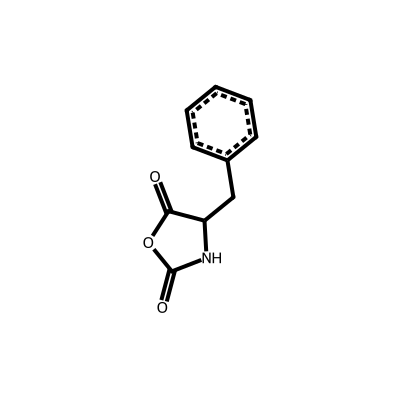 O=C1NC(Cc2ccccc2)C(=O)O1